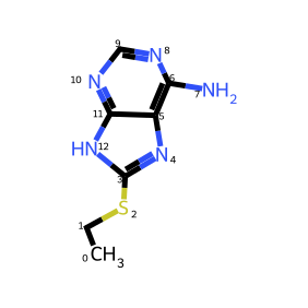 CCSc1nc2c(N)ncnc2[nH]1